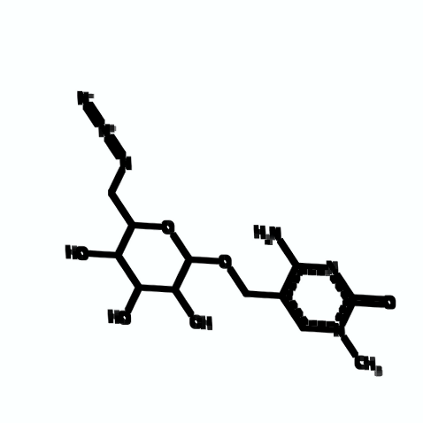 Cn1cc(COC2OC(CN=[N+]=[N-])C(O)C(O)C2O)c(N)nc1=O